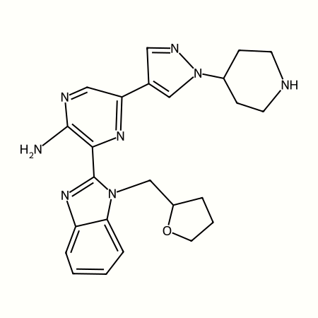 Nc1ncc(-c2cnn(C3CCNCC3)c2)nc1-c1nc2ccccc2n1CC1CCCO1